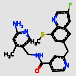 CSc1cc(Cc2cc(C(=O)NCc3cnc(N)cc3C)ccn2)cc2cc(F)cnc12